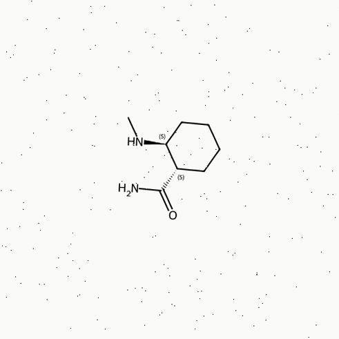 CN[C@H]1CCCC[C@@H]1C(N)=O